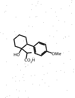 COc1ccc(C2CCCCC2(O)C(C)C(=O)O)cc1